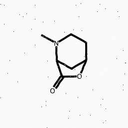 CN1CCC2CC1C(=O)O2